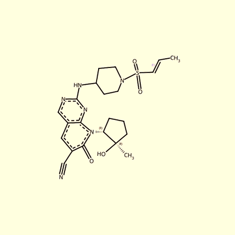 C/C=C/S(=O)(=O)N1CCC(Nc2ncc3cc(C#N)c(=O)n([C@@H]4CCC[C@@]4(C)O)c3n2)CC1